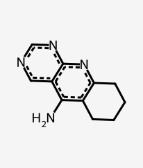 Nc1c2c(nc3ncncc13)CCCC2